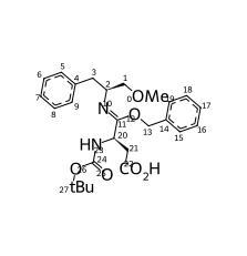 COC[C@H](Cc1ccccc1)N=C(OCc1ccccc1)[C@@H](CC(=O)O)NC(=O)OC(C)(C)C